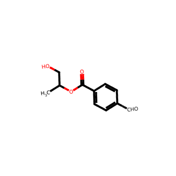 CC(CO)OC(=O)c1ccc(C=O)cc1